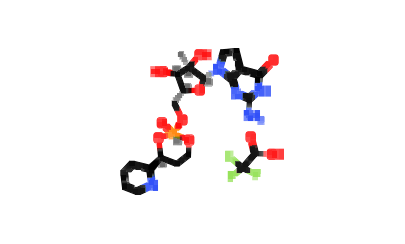 C[C@@]1(O)[C@H](O)[C@@H](CO[P@@]2(=O)OCC[C@@H](c3ccccn3)O2)O[C@H]1n1ccc2c(=O)[nH]c(N)nc21.O=C(O)C(F)(F)F